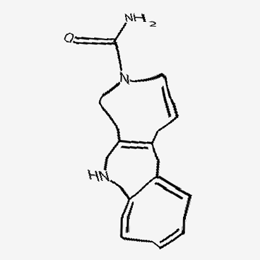 NC(=O)N1C=Cc2c([nH]c3ccccc23)C1